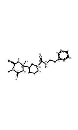 CN1C(=N)N[C@](C)(C2CCCN(C(=O)NCCc3ccccc3)C2)CC1=O